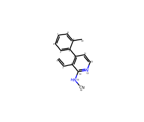 C=Cc1c(-c2ccccc2C)ccnc1NC#N